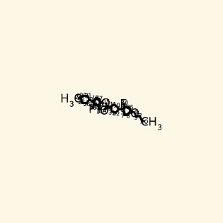 CCCCOc1ccc(C2CCC(C(=O)Oc3ccc(C4CCC(C)CC4)c(F)c3F)CC2)c(F)c1